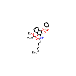 CCCCCCCCCCCCCCCC(=O)Nc1cc(OS(=O)(=O)c2ccccc2)c2ccccc2c1OC(OC)OCC